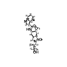 COc1cc2c(cc1NC(=O)c1cnn3cccnc13)CN(C[C@@H](F)C(C)(C)O)C2=O